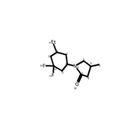 CCC1CC(N2CC(C)CC2=O)CC(F)(F)C1